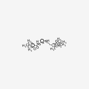 CC(C)(C)OC(=O)N1CC(CCCNc2cccc(SNC(=O)c3cnc(C(C)(C)C)nc3Cl)n2)CC1(C)C